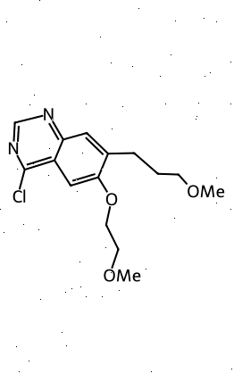 COCCCc1cc2ncnc(Cl)c2cc1OCCOC